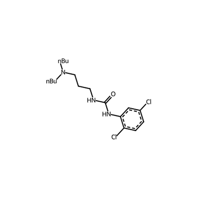 CCCCN(CCCC)CCCNC(=O)Nc1cc(Cl)ccc1Cl